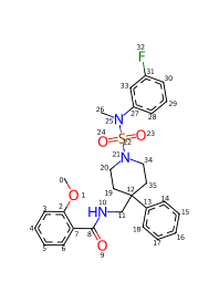 COc1ccccc1C(=O)NCC1(c2ccccc2)CCN(S(=O)(=O)N(C)c2cccc(F)c2)CC1